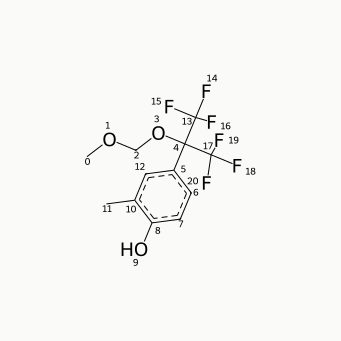 COCOC(c1ccc(O)c(C)c1)(C(F)(F)F)C(F)(F)F